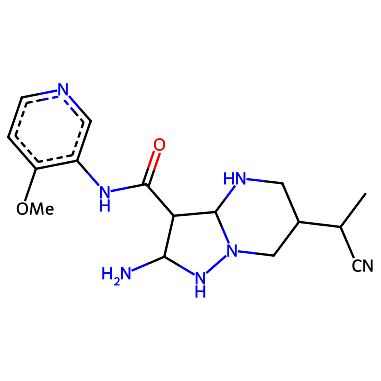 COc1ccncc1NC(=O)C1C(N)NN2CC(C(C)C#N)CNC12